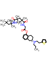 CCCN(CCc1cccs1)[C@H]1CCc2c(cccc2OC(=O)CNC(=O)C(C)(C)CC(C)(C)C(=O)NC(C)(C)CC(C)(C)C)C1